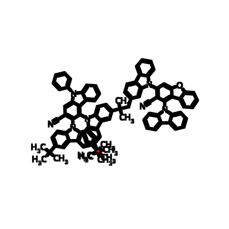 CC(C)(C)c1ccc2c(c1)c1cc(C(C)(C)C)ccc1n2-c1c(C#N)cc2c(c1-n1c3ccc(C(C)(C)C)cc3c3cc(C(C)(C)Cc4ccc5c6ccccc6n(-c6cc7oc8ccccc8c7c(-n7c8ccccc8c8ccccc87)c6C#N)c5c4)ccc31)c1ccccc1n2-c1ccccc1